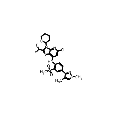 Cc1cn(C)nc1-c1ccc(Nc2cc(Cl)nc3c2nc(C(F)F)n3C2CCCCO2)c(S(C)(=O)=O)c1